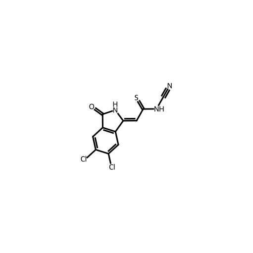 N#CNC(=S)/C=C1\NC(=O)c2cc(Cl)c(Cl)cc21